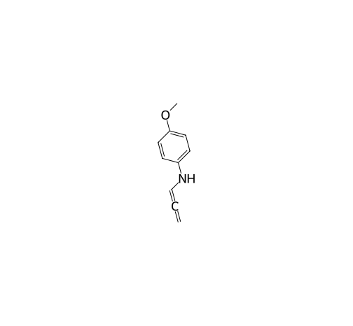 C=C=CNc1ccc(OC)cc1